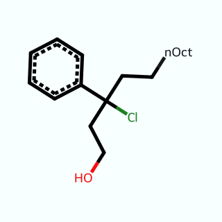 CCCCCCCCCCC(Cl)(CCO)c1ccccc1